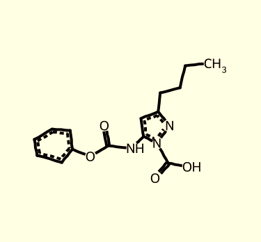 CCCCc1cc(NC(=O)Oc2ccccc2)n(C(=O)O)n1